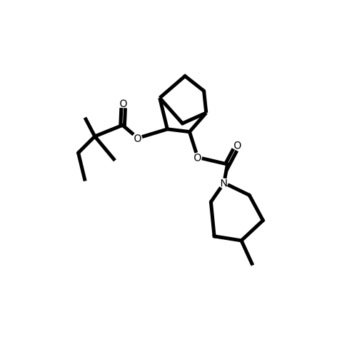 CCC(C)(C)C(=O)OC1C2CCC(C2)C1OC(=O)N1CCC(C)CC1